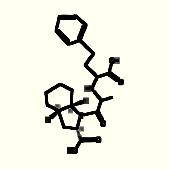 CC(NC(CCc1ccccc1)C(=O)O)C(=O)N1[C@H](C(=O)O)C[C@@H]2CCCC[C@@H]21